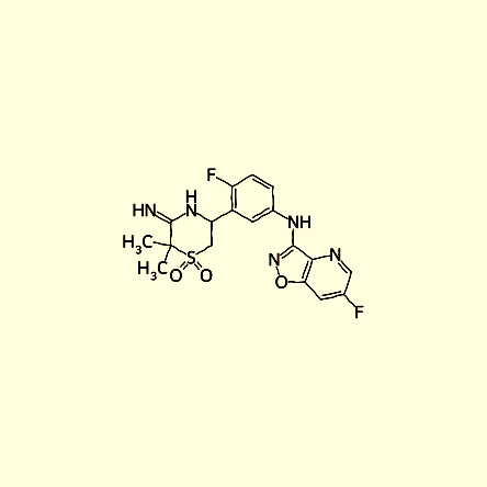 CC1(C)C(=N)NC(c2cc(Nc3noc4cc(F)cnc34)ccc2F)CS1(=O)=O